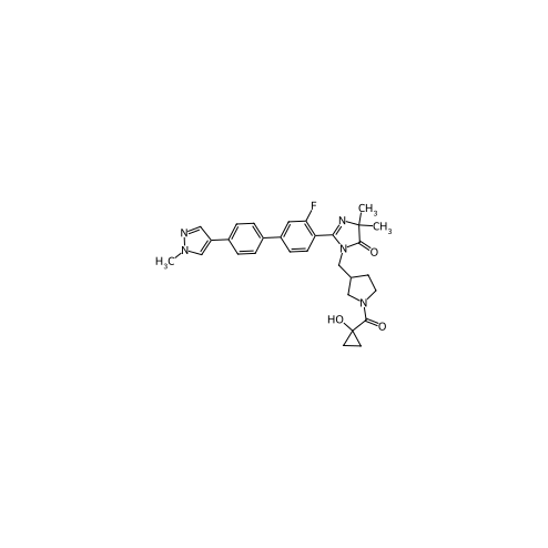 Cn1cc(-c2ccc(-c3ccc(C4=NC(C)(C)C(=O)N4CC4CCN(C(=O)C5(O)CC5)C4)c(F)c3)cc2)cn1